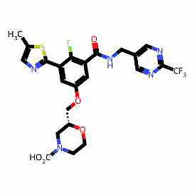 Cc1cnc(-c2cc(OC[C@H]3CN(C(=O)O)CCO3)cc(C(=O)NCc3cnc(C(F)(F)F)nc3)c2F)s1